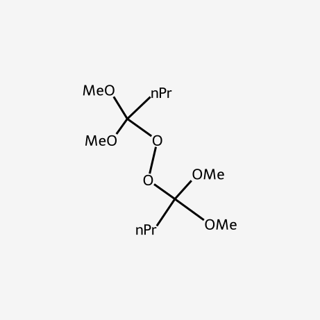 CCCC(OC)(OC)OOC(CCC)(OC)OC